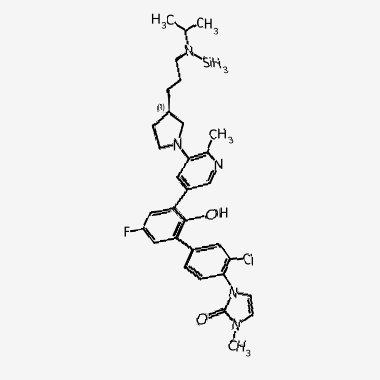 Cc1ncc(-c2cc(F)cc(-c3ccc(-n4ccn(C)c4=O)c(Cl)c3)c2O)cc1N1CC[C@@H](CCCN([SiH3])C(C)C)C1